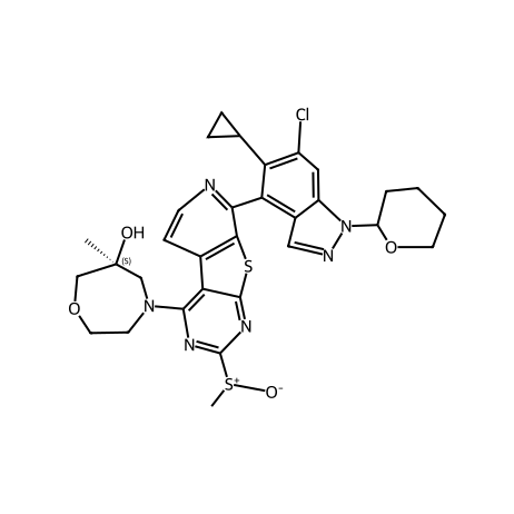 C[S+]([O-])c1nc(N2CCOC[C@@](C)(O)C2)c2c(n1)sc1c(-c3c(C4CC4)c(Cl)cc4c3cnn4C3CCCCO3)nccc12